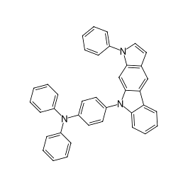 c1ccc(N(c2ccccc2)c2ccc(-n3c4ccccc4c4cc5ccn(-c6ccccc6)c5cc43)cc2)cc1